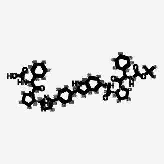 CC(C)(C)OC(=O)N[C@@H](C(=O)N1CCC[C@H]1C(=O)Nc1ccc2[nH]c(-c3ccc(-c4cnc([C@@H]5CCCN5C(=O)[C@H](NC(=O)O)c5ccccc5)[nH]4)cc3)cc2c1)c1ccccc1